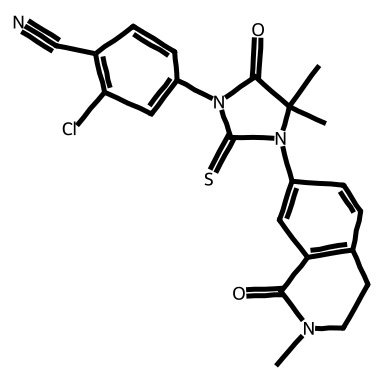 CN1CCc2ccc(N3C(=S)N(c4ccc(C#N)c(Cl)c4)C(=O)C3(C)C)cc2C1=O